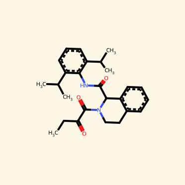 CCC(=O)C(=O)N1CCc2ccccc2C1C(=O)Nc1c(C(C)C)cccc1C(C)C